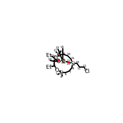 CCC1O[Si](C)(C)CCC[Si]2(CCCCl)CCC[Si](C)(C)OC(CC)C1(C)O[Si](C)(C)CCC2